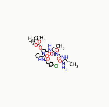 CCCCC(NC(=O)CNC(=O)C(=O)C(CCC)NC(=O)C1C[C@@H](OCC(=O)OC(C)(C)C)CN1C(=O)C(NC(=O)Cc1ccc(Cl)cc1)C1CCCCC1)C(N)=O